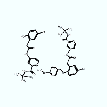 CC(C)(C)NC(=O)c1cc(NC(=O)Cc2cc(Cl)ccc2O)ccn1.COc1ccc(COc2ccc(Cl)cc2CC(=O)Nc2ccnc(C(=O)NC(C)(C)C)c2)cc1